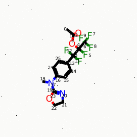 CC(=O)OC(F)(C(F)(F)F)C(F)(F)c1ccc(N(C)C2=NCCO2)cc1